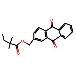 CCC(C)(C)C(=O)OCc1ccc2c(c1)C(=O)c1ccccc1C2=O